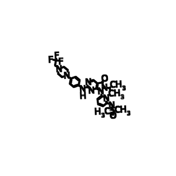 CC(C)n1c(=O)c2cnc(Nc3ccc(N4CCN(CC(F)(F)F)CC4)cc3)nc2n1-c1cccc(N=S(C)(C)=O)n1